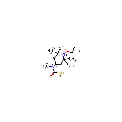 CCON1C(C)(C)CC(N(C)C(=O)S)CC1(C)C